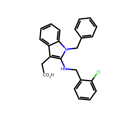 O=C(O)Cc1c(NCc2ccccc2Cl)n(Cc2ccccc2)c2ccccc12